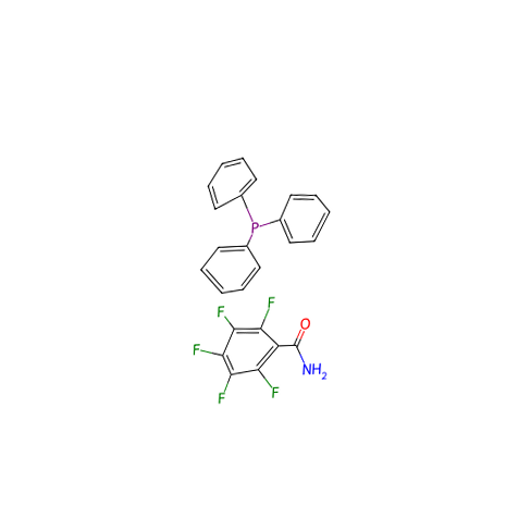 NC(=O)c1c(F)c(F)c(F)c(F)c1F.c1ccc(P(c2ccccc2)c2ccccc2)cc1